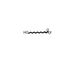 COC(=O)/C=C/CCCCCCCCCO